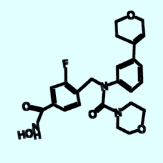 O=C(NO)c1ccc(CN(C(=O)N2CCOCC2)c2cccc(C3=CCOCC3)c2)c(F)c1